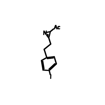 CC(=O)C1N=C1CCc1ccc(I)cc1